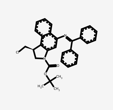 CC(C)(C)OC(=O)N1C[C@@H](CCl)c2c1cc(N=C(c1ccccc1)c1ccccc1)c1ccccc21